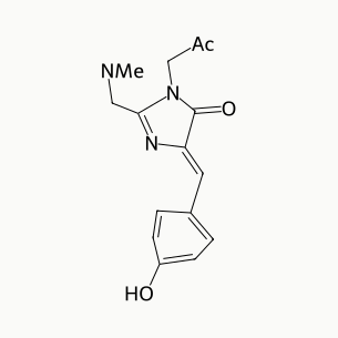 CNCC1=N/C(=C\c2ccc(O)cc2)C(=O)N1CC(C)=O